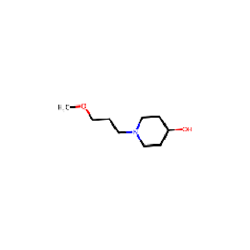 COCCCN1CCC(O)CC1